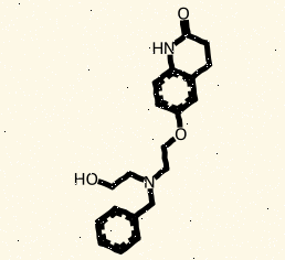 O=C1CCc2cc(OCCN(CCO)Cc3ccccc3)ccc2N1